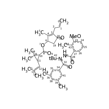 C=CCC1=C(C)C(OC(=O)C2C(C=C(C)C)C2(C)C)CC1=O.COc1cccc(C(=O)NN(C(=O)c2cc(C)cc(C)c2)C(C)(C)C)c1C